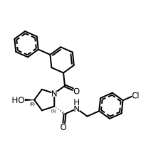 O=C(NCc1ccc(Cl)cc1)[C@@H]1C[C@@H](O)CN1C(=O)C1C=CC=C(c2ccccc2)C1